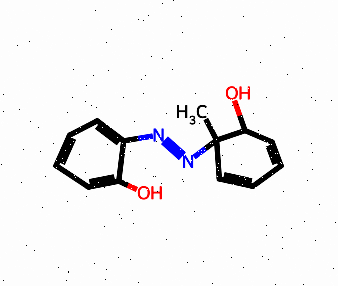 CC1(N=Nc2ccccc2O)C=CC=CC1O